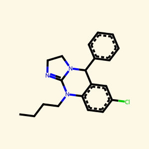 CCCCN1C2=NCCN2C(c2ccccc2)c2cc(Cl)ccc21